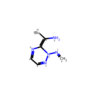 C=NN1N=CC=N/C1=C(/N)C(C)(C)C